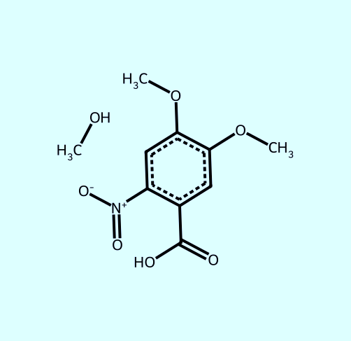 CO.COc1cc(C(=O)O)c([N+](=O)[O-])cc1OC